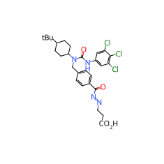 CC(C)(C)C1CCC(N(Cc2ccc(C(=O)N=NCCC(=O)O)cc2)C(=O)Nc2cc(Cl)c(Cl)c(Cl)c2)CC1